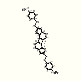 CCCc1ccc(CCc2cc3ccc4c(c3s2)-c2ccc3cc(CCc5ccc(CCC)cc5)sc3c2-4)cc1